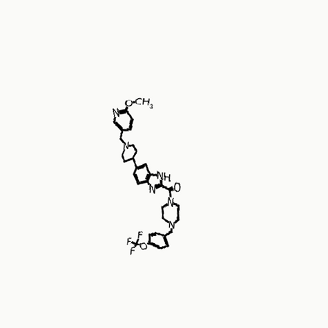 COc1ccc(CN2CCC(c3ccc4nc(C(=O)N5CCN(Cc6ccc(OC(F)(F)F)cc6)CC5)[nH]c4c3)CC2)cn1